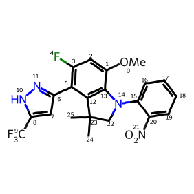 COc1cc(F)c(-c2cc(C(F)(F)F)[nH]n2)c2c1N(c1ccccc1[N+](=O)[O-])CC2(C)C